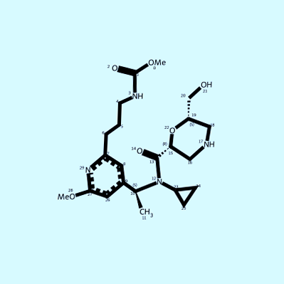 COC(=O)NCCCc1cc([C@H](C)N(C(=O)[C@H]2CNC[C@@H](CO)O2)C2CC2)cc(OC)n1